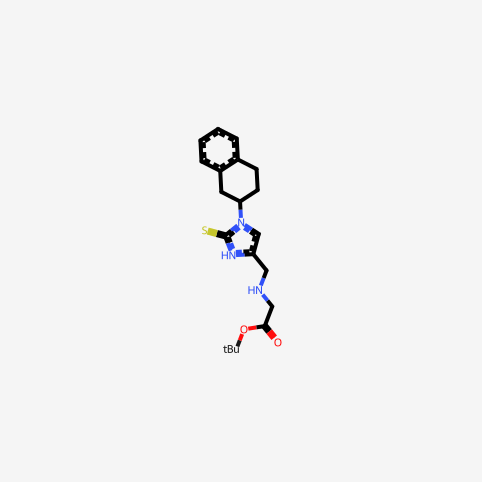 CC(C)(C)OC(=O)CNCc1cn(C2CCc3ccccc3C2)c(=S)[nH]1